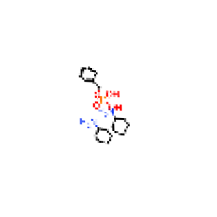 NC1CCCCC1.NC1CCCCC1.O=P(O)(O)OCc1ccccc1